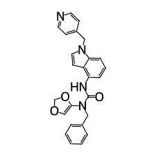 O=C(Nc1cccc2c1ccn2Cc1ccncc1)N(Cc1ccccc1)C1=COCO1